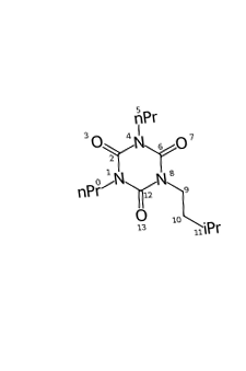 CCCn1c(=O)n(CCC)c(=O)n(CCC(C)C)c1=O